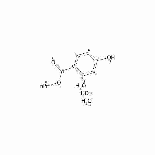 CCCOC(=O)c1ccc(O)cc1.O.O.O